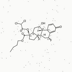 CCCCOC(=O)[C@@]1(OC(=O)C(Cl)Cl)CC[C@H]2[C@@H]3C[C@H](F)C4=CC(=O)C=C[C@]4(C)[C@@]3(F)[C@@H](O)C[C@@]21C